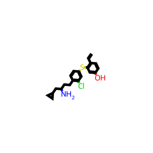 C=Cc1ccc(O)cc1Sc1ccc(CCC(N)CC2CC2)c(Cl)c1